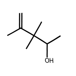 C=C(C)C(C)(C)C(C)O